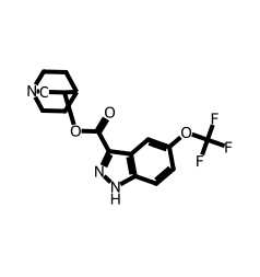 O=C(OC1CN2CCC1CC2)c1n[nH]c2ccc(OC(F)(F)F)cc12